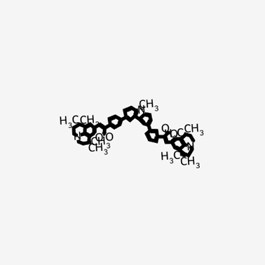 Cn1c2ccc(-c3ccc(-c4cc5cc6c7c(c5oc4=O)C(C)(C)CCN7CCC6(C)C)cc3)cc2c2cc(-c3cccc(-c4cc5cc6c7c(c5oc4=O)C(C)(C)CCN7CCC6(C)C)c3)ccc21